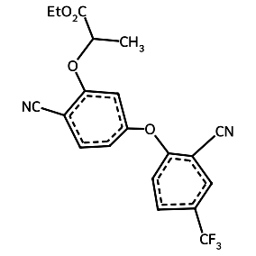 CCOC(=O)C(C)Oc1cc(Oc2ccc(C(F)(F)F)cc2C#N)ccc1C#N